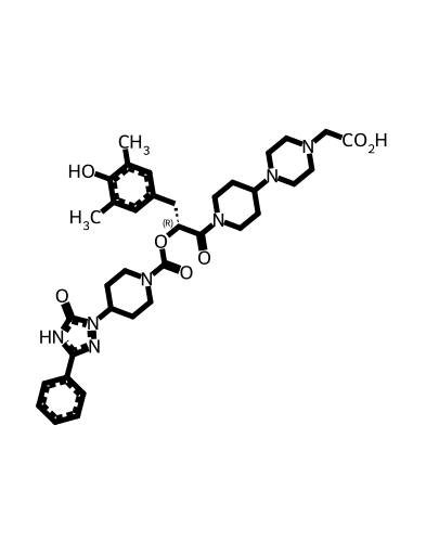 Cc1cc(C[C@@H](OC(=O)N2CCC(n3nc(-c4ccccc4)[nH]c3=O)CC2)C(=O)N2CCC(N3CCN(CC(=O)O)CC3)CC2)cc(C)c1O